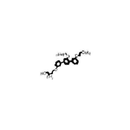 C=C(CO)CCOc1cccc(-c2ccc(-c3cccc(OCCOC)c3)c(OCCCCCCC)c2)c1